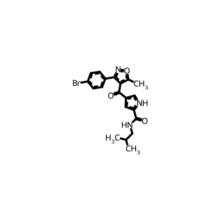 Cc1onc(-c2ccc(Br)cc2)c1C(=O)c1c[nH]c(C(=O)NCC(C)C)c1